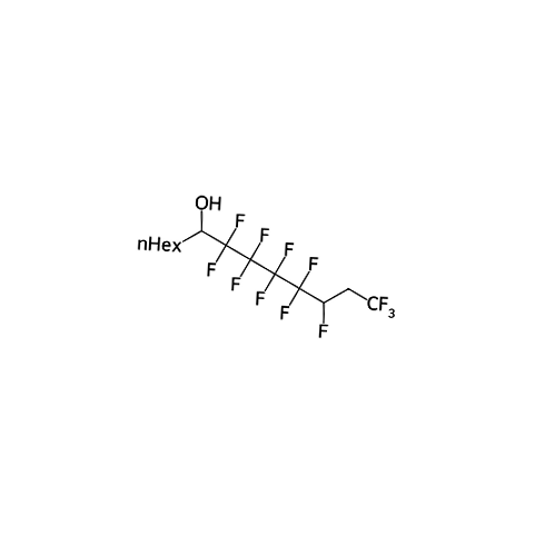 CCCCCCC(O)C(F)(F)C(F)(F)C(F)(F)C(F)(F)C(F)CC(F)(F)F